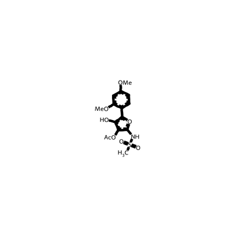 COc1ccc(-c2oc(NS(C)(=O)=O)c(OC(C)=O)c2O)c(OC)c1